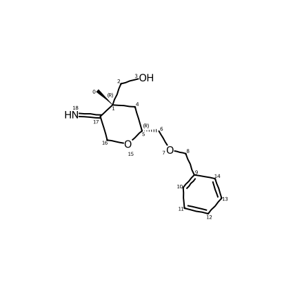 C[C@@]1(CO)C[C@H](COCc2ccccc2)OCC1=N